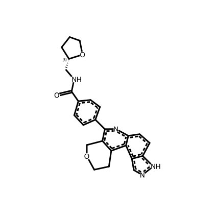 O=C(NC[C@@H]1CCCO1)c1ccc(-c2nc3ccc4[nH]ncc4c3c3c2COCC3)cc1